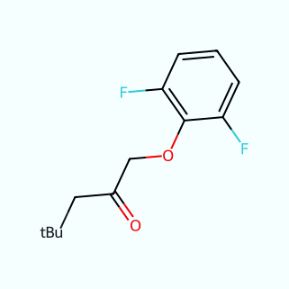 CC(C)(C)CC(=O)COc1c(F)cccc1F